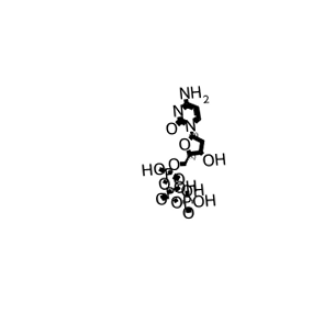 Nc1ccn([C@H]2CC(O)[C@@H](COP(=O)(O)OP(=O)(O)OP(=O)(O)O)O2)c(=O)n1